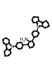 Nc1c(-c2ccc(-n3c4ccccc4c4ccccc43)cc2)cccc1-c1ccc(-n2c3ccccc3c3ccccc32)cc1